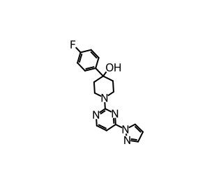 OC1(c2ccc(F)cc2)CCN(c2nccc(-n3cccn3)n2)CC1